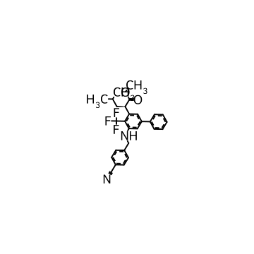 COC(=O)[C@H](CC(C)C)c1cc(-c2ccccc2)cc(NCc2ccc(C#N)cc2)c1C(F)(F)F